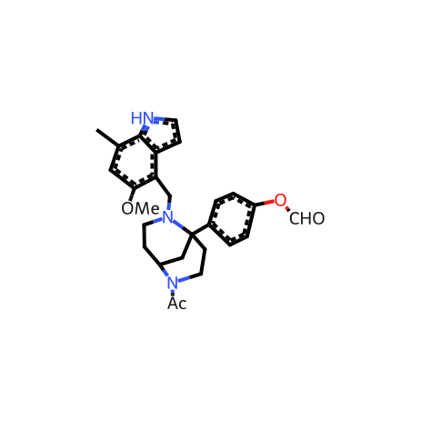 COc1cc(C)c2[nH]ccc2c1CN1CCC2CC1(c1ccc(OC=O)cc1)CCN2C(C)=O